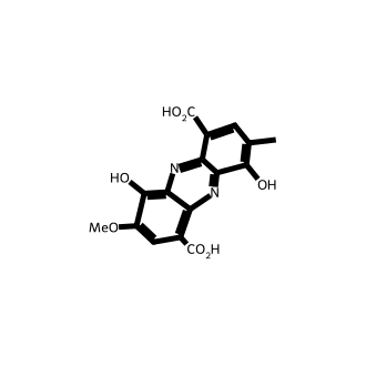 COc1cc(C(=O)O)c2nc3c(O)c(C)cc(C(=O)O)c3nc2c1O